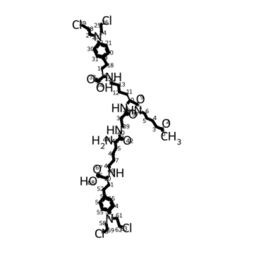 CC(=O)CCCCNC(=O)[C@H](CCCCN[C@H](CCc1ccc(N(CCCl)CCCl)cc1)C(=O)O)NC(=O)CCNC(=O)[C@@H](N)CCCCN[C@@H](CCc1ccc(N(CCCl)CCCl)cc1)C(=O)O